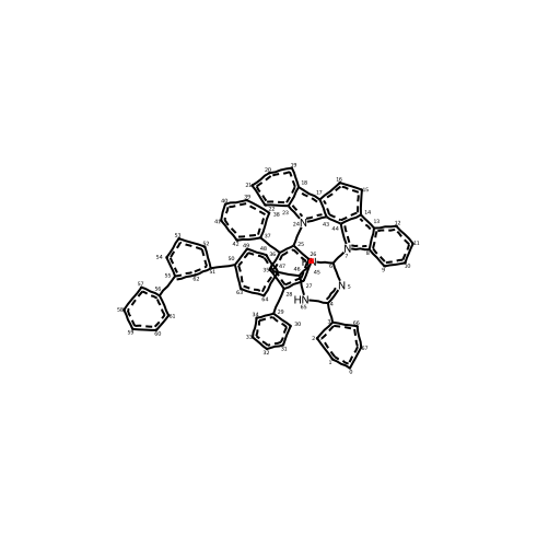 c1ccc(C2=NC(n3c4ccccc4c4ccc5c6ccccc6n(-c6ccc(-c7ccccc7)cc6-c6ccccc6)c5c43)NC(c3ccc(-c4cccc(-c5ccccc5)c4)cc3)N2)cc1